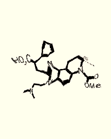 COC(=O)N1c2ccc3c(nc(CC(C(=O)O)c4ccccc4)n3CCN(C)C)c2CC[C@@H]1C